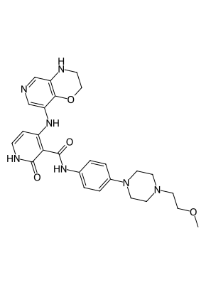 COCCN1CCN(c2ccc(NC(=O)c3c(Nc4cncc5c4OCCN5)cc[nH]c3=O)cc2)CC1